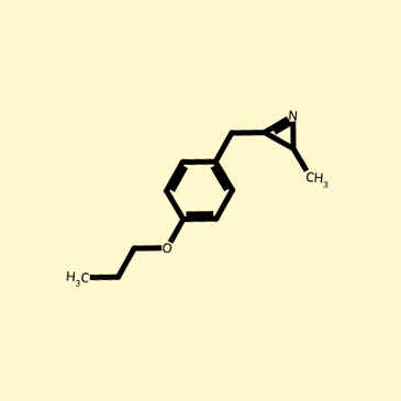 CCCOc1ccc(CC2=NC2C)cc1